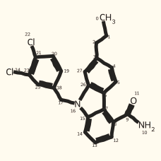 CCCc1c[c]c2c3c(C(N)=O)cccc3n(Cc3ccc(Cl)c(Cl)c3)c2c1